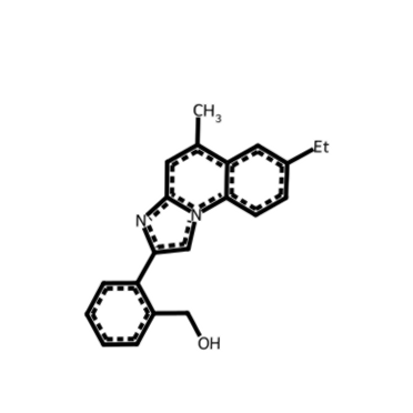 CCc1ccc2c(c1)c(C)cc1nc(-c3ccccc3CO)cn12